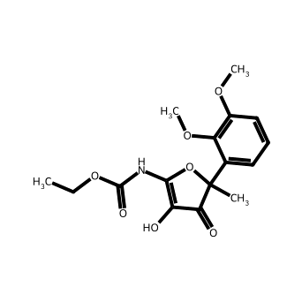 CCOC(=O)NC1=C(O)C(=O)C(C)(c2cccc(OC)c2OC)O1